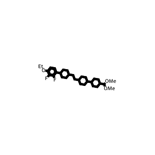 CCOc1ccc(C2CCC(CCC3CCC(C4CCC(C(OC)OC)CC4)CC3)CC2)c(F)c1F